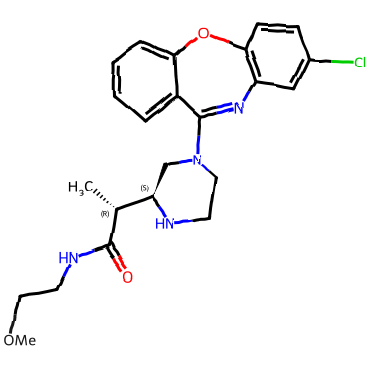 COCCNC(=O)[C@H](C)[C@H]1CN(C2=Nc3cc(Cl)ccc3Oc3ccccc32)CCN1